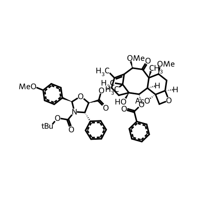 COc1ccc([C@H]2O[C@@H](C(=O)O[C@H]3C[C@@]4(O)[C@@H](OC(=O)c5ccccc5)[C@@H]5[C@]6(OC(C)=O)CO[C@@H]6C[C@H](OC)[C@@]5(C)C(=O)[C@H](OC)C(=C3C)C4(C)C)[C@H](c3ccccc3)N2C(=O)OC(C)(C)C)cc1